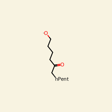 CCCCCCC(=O)CCCC[O]